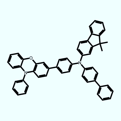 CC1(C)c2ccccc2-c2ccc(N(c3ccc(-c4ccccc4)cc3)c3ccc(-c4ccc5c(c4)Oc4ccccc4N5c4ccccc4)cc3)cc21